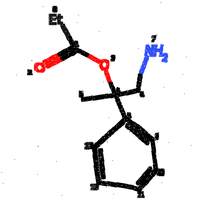 CCC(=O)OC(C)(CN)c1ccccc1